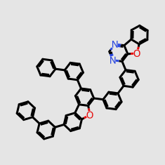 c1ccc(-c2cccc(-c3ccc4oc5c(-c6cccc(-c7cccc(-c8ncnc9c8oc8ccccc89)c7)c6)cc(-c6cccc(-c7ccccc7)c6)cc5c4c3)c2)cc1